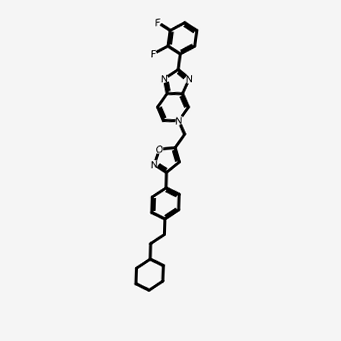 Fc1cccc(-c2nc3ccn(Cc4cc(-c5ccc(CCC6CCCCC6)cc5)no4)cc-3n2)c1F